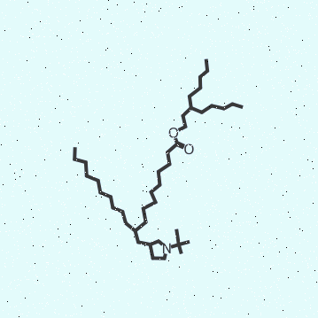 CCCCCCCCCCC(CCCCCCCCC(=O)OCCC(CCCCC)CCCCC)CC1CCN(C(C)(C)C)C1